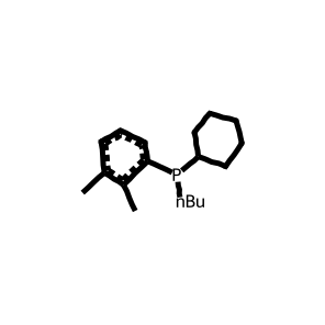 CCCCP(c1cccc(C)c1C)C1CCCCC1